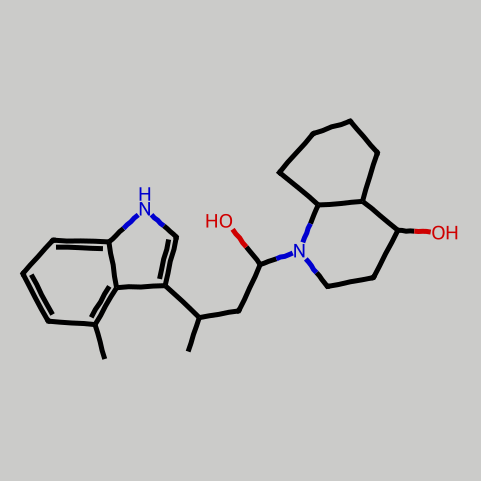 Cc1cccc2[nH]cc(C(C)CC(O)N3CCC(O)C4CCCCC43)c12